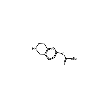 CCCCC(=O)Oc1ccc2c(c1)CCNC2